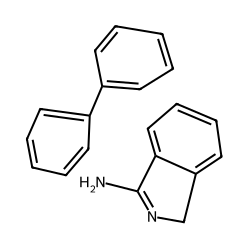 NC1=NCc2ccccc21.c1ccc(-c2ccccc2)cc1